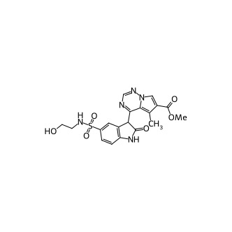 COC(=O)c1cn2ncnc(C3C(=O)Nc4ccc(S(=O)(=O)NCCO)cc43)c2c1C